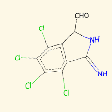 N=C1NC(C=O)c2c(Cl)c(Cl)c(Cl)c(Cl)c21